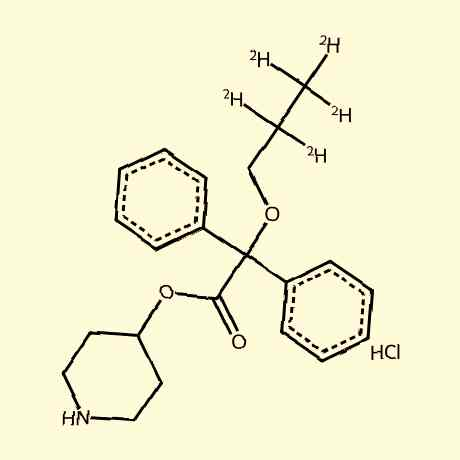 Cl.[2H]C([2H])([2H])C([2H])([2H])COC(C(=O)OC1CCNCC1)(c1ccccc1)c1ccccc1